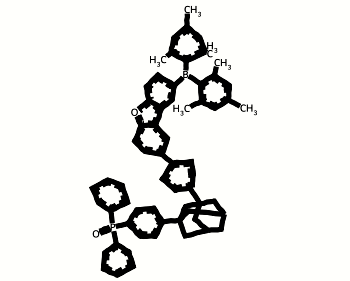 Cc1cc(C)c(B(c2ccc3oc4ccc(-c5ccc(C67CC8CC(C6)CC(c6ccc(P(=O)(c9ccccc9)c9ccccc9)cc6)(C8)C7)cc5)cc4c3c2)c2c(C)cc(C)cc2C)c(C)c1